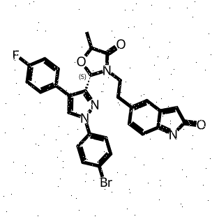 CC1O[C@@H](c2nn(-c3ccc(Br)cc3)cc2-c2ccc(F)cc2)N(CCc2ccc3c(c2)=CC(=O)N=3)C1=O